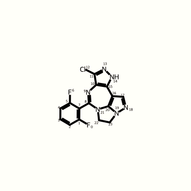 Fc1cccc(F)c1C1=Nc2c(Cl)n[nH]c2-c2cnn3c2N1CC3